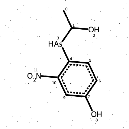 CC(O)[AsH]c1ccc(O)cc1[N+](=O)[O-]